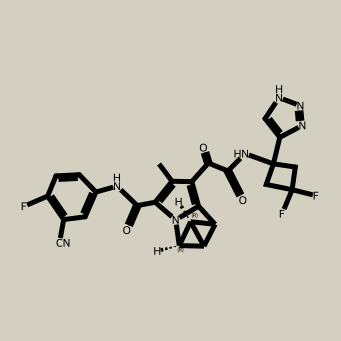 Cc1c(C(=O)C(=O)NC2(c3c[nH]nn3)CC(F)(F)C2)c2n(c1C(=O)Nc1ccc(F)c(C#N)c1)[C@@H]1C3C2[C@@H]31